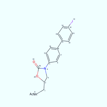 CC(=O)NCC1CN(c2ccc(-c3ccc(I)cc3)cc2)C(=O)O1